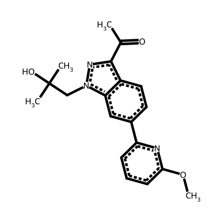 COc1cccc(-c2ccc3c(C(C)=O)nn(CC(C)(C)O)c3c2)n1